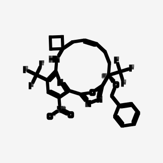 O=[N+]([O-])c1cc(C(F)(F)F)c2nc1-c1nnc(o1)[C@@](OCc1ccccc1)(C(F)(F)F)CCC=CCC1(CCC1)N2